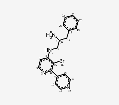 N[C@H](CNc1ccnc(-c2ccncc2)c1Br)Cc1ccccc1